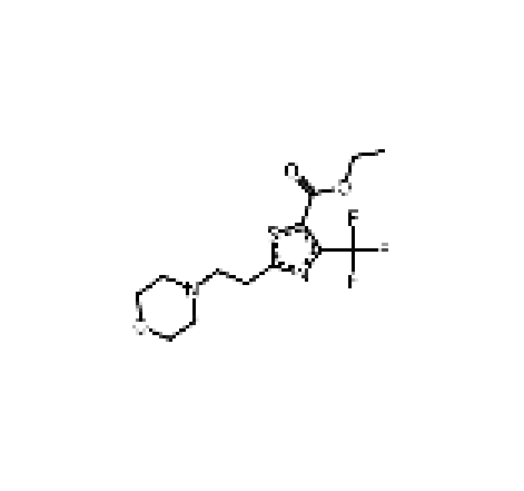 CCOC(=O)c1sc(CCN2CCOCC2)nc1C(F)(F)F